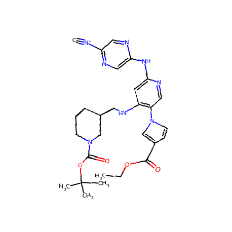 [C-]#[N+]c1cnc(Nc2cc(NCC3CCCN(C(=O)OC(C)(C)C)C3)c(-n3ccc(C(=O)OCC)c3)cn2)cn1